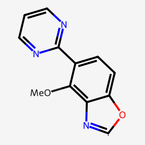 COc1c(-c2ncccn2)ccc2o[c]nc12